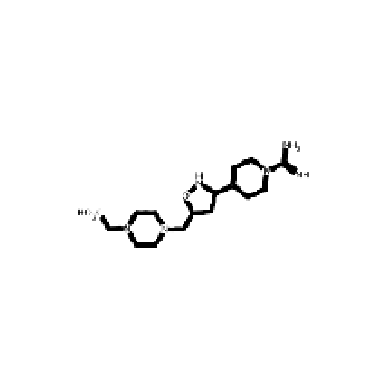 N=C(N)N1CCC(C2CC(CN3CCN(CC(=O)O)CC3)ON2)CC1